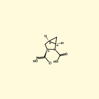 O=C(O)N1[C@@H](C(Cl)=NO)C[C@H]2C[C@H]21